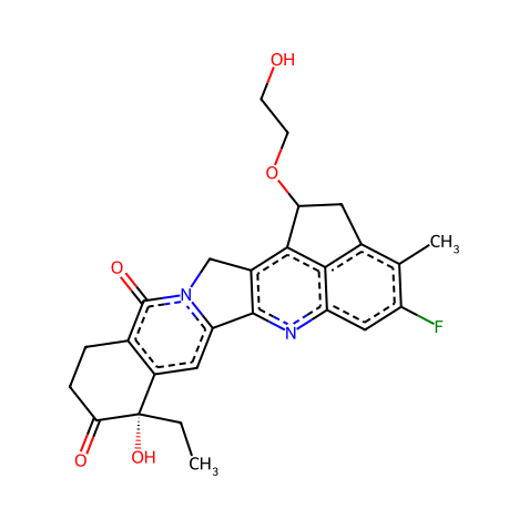 CC[C@@]1(O)C(=O)CCc2c1cc1n(c2=O)Cc2c-1nc1cc(F)c(C)c3c1c2C(OCCO)C3